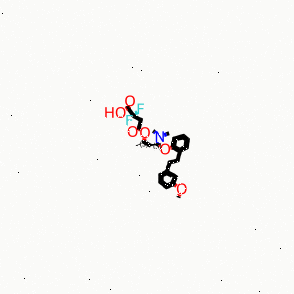 COc1cccc(CCc2ccccc2O[C@@H](C[C@H](C)OC(=O)CC(F)(F)C(=O)O)N(C)C)c1